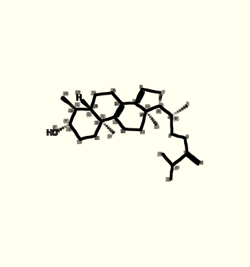 C=C(CC[C@@H](C)[C@H]1CC=C2C3=C(CC[C@@]21C)[C@@]1(C)CC[C@H](O)[C@@H](C)[C@@H]1CC3)C(C)C